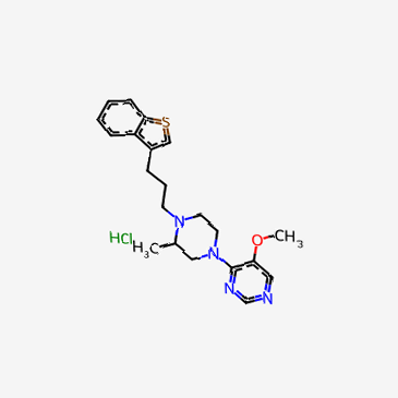 COc1cncnc1N1CCN(CCCc2csc3ccccc23)C(C)C1.Cl